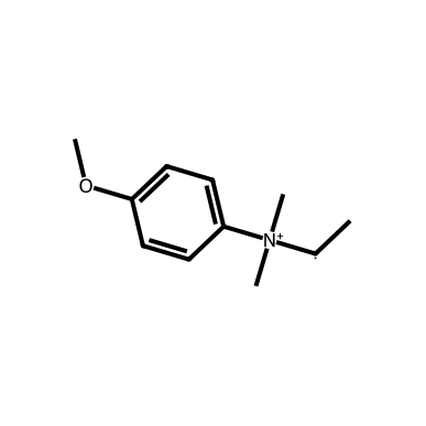 C[CH][N+](C)(C)c1ccc(OC)cc1